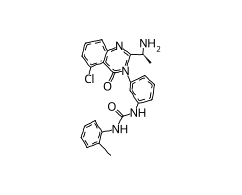 Cc1ccccc1NC(=O)Nc1cccc(-n2c([C@H](C)N)nc3cccc(Cl)c3c2=O)c1